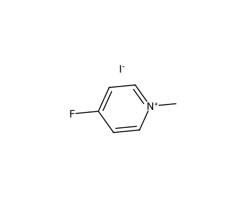 C[n+]1ccc(F)cc1.[I-]